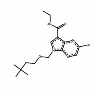 CCNC(=O)c1cn(COCCC(C)(C)C)c2ncc(Br)nc12